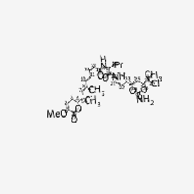 COC1=CCC(C(C)/C=C(C)/C=C/C=C\C(=O)NC(C(=O)N/C=C\CC(C/C=C(\C)Cl)OC(N)=O)C(C)C)OC1=O